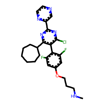 CNCCCOc1cc(F)c(-c2c(Cl)nc(-c3cnccn3)nc2C2CCCCCC2)c(F)c1